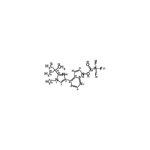 Cn1cc(-c2ccnc3c2ccn3OC(=O)C(F)(F)F)nc1C(C)(C)C